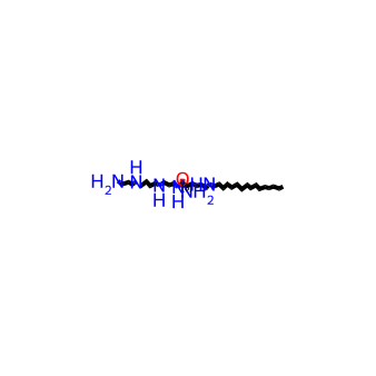 CCCCCCCCCCCCCCCCNCCCC[C@H](N)C(=O)NCCCNCCCCNCCCN